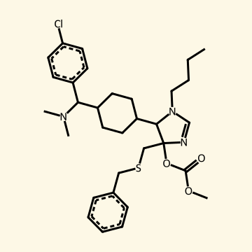 CCCCN1C=NC(CSCc2ccccc2)(OC(=O)OC)C1C1CCC(C(c2ccc(Cl)cc2)N(C)C)CC1